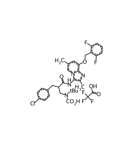 Cc1cc(OCc2c(F)cccc2F)c2nc(C)c(NC(=O)C(Cc3ccc(Cl)cc3)CN(C(=O)O)C(C)(C)C)n2c1.O=C(O)C(F)(F)F